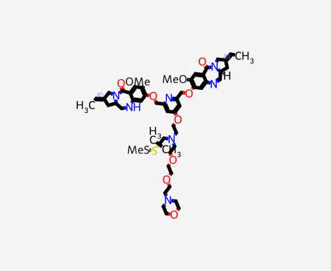 C/C=C1\CC2CNc3cc(OCc4cc(OCCN(CCOCCOCCN5CCOCC5)CC(C)(C)SSC)cc(COc5cc6c(cc5OC)C(=O)N5C/C(=C/C)C[C@H]5C=N6)n4)c(OC)cc3C(=O)N2C1